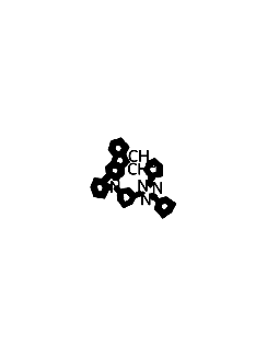 CC1(C)c2ccccc2-c2cc3c4ccccc4n(C4=CCCC(c5nc(-c6ccccc6)nc(C6C=CC=CC6)n5)=C4)c3cc21